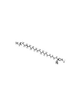 [CH2]C(C#N)CCCCCCCCCCCCCCCCCC=CCCC